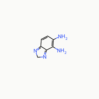 Nc1ccc2c(c1N)=NCN=2